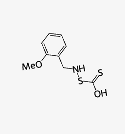 COc1ccccc1CNSC(O)=S